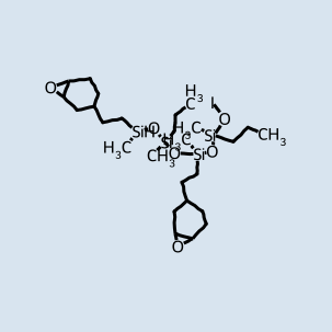 CCC[Si](C)(OI)O[Si](C)(CCC1CCC2OC2C1)O[Si](C)(CCC)O[SiH](C)CCC1CCC2OC2C1